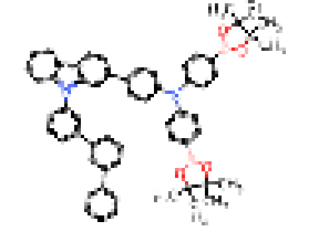 CC1(C)OB(c2ccc(N(c3ccc(B4OC(C)(C)C(C)(C)O4)cc3)c3ccc(-c4ccc5c6ccccc6n(-c6cccc(-c7cccc(-c8ccccc8)c7)c6)c5c4)cc3)cc2)OC1(C)C